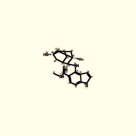 CNC(=O)c1cnc2[nH]ccc2c1N[C@H]1C2CC3C[C@@H]1C[C@](O)(C3)C2